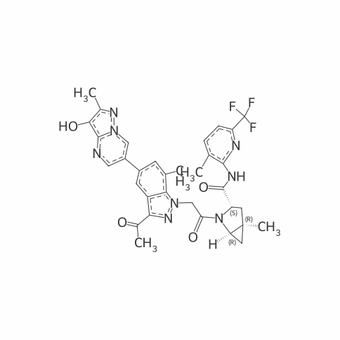 CC(=O)c1nn(CC(=O)N2[C@H](C(=O)Nc3nc(C(F)(F)F)ccc3C)C[C@@]3(C)C[C@@H]23)c2c(C)cc(-c3cnc4c(O)c(C)nn4c3)cc12